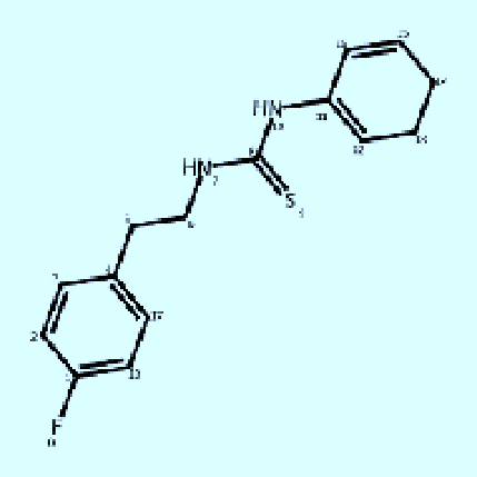 Fc1ccc(CCNC(=S)NC2=CC[CH]C=C2)cc1